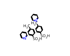 Cc1ccc(S(=O)(=O)O)cc1.Cc1ccc(S(=O)(=O)O)cc1.c1ccncc1.c1ccncc1